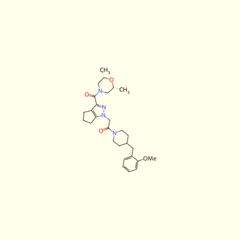 COc1ccccc1CC1CCN(C(=O)Cn2nc(C(=O)N3C[C@@H](C)O[C@@H](C)C3)c3c2CCC3)CC1